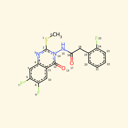 CSc1nc2cc(F)c(F)cc2c(=O)n1NC(=O)Cc1ccccc1F